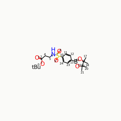 CC(C)(C)OC(=O)CCNS(=O)(=O)c1ccc(B2OC(C)(C)C(C)(C)O2)cc1